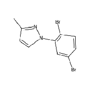 Cc1ccn(-c2cc(Br)ccc2Br)n1